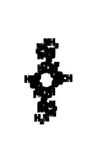 C#S[P@]1(=O)OC[C@H]2O[C@@H](n3cnc4c(N)ncnc43)[C@@H](F)[C@@H]2O[P@](=O)(S)OC[C@H]2O[C@@H](n3cnc4c(N)ncnc43)[C@@H](F)[C@@H]2O1